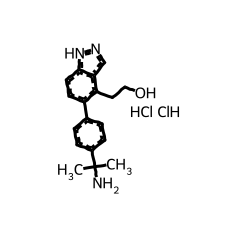 CC(C)(N)c1ccc(-c2ccc3[nH]ncc3c2CCO)cc1.Cl.Cl